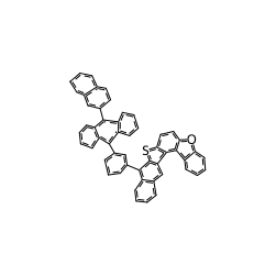 c1cc(-c2c3ccccc3c(-c3ccc4ccccc4c3)c3ccccc23)cc(-c2c3ccccc3cc3c2sc2ccc4oc5ccccc5c4c23)c1